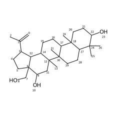 C=C(C)C1CCC2(CO)C(O)CC3(C)C(CCC4C5(C)CCC(O)C(C)(C)C5CCC43C)C12